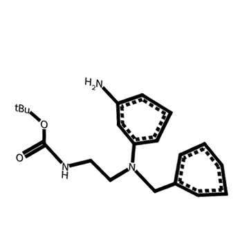 CC(C)(C)OC(=O)NCCN(Cc1ccccc1)c1cccc(N)c1